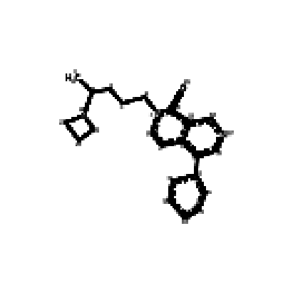 CC(CCCn1ccc2c(-c3ccccc3)cncc2c1=O)N1CCC1